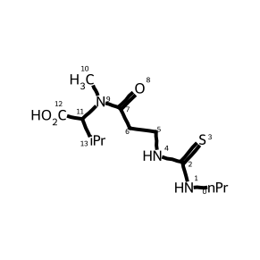 CCCNC(=S)NCCC(=O)N(C)C(C(=O)O)C(C)C